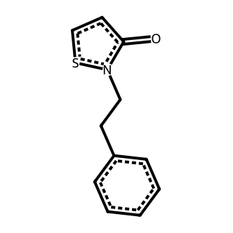 O=c1ccsn1CCc1ccccc1